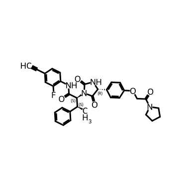 C#Cc1ccc(NC(=O)[C@H]([C@@H](C)c2ccccc2)N2C(=O)N[C@H](c3ccc(OCC(=O)N4CCCC4)cc3)C2=O)c(F)c1